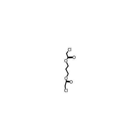 O=C(CCl)OCCCOC(=O)CCl